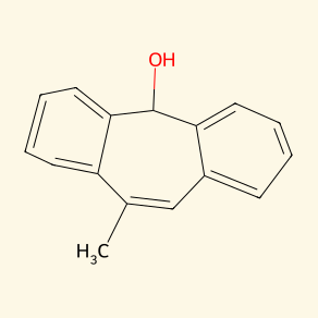 CC1=Cc2ccccc2C(O)c2ccccc21